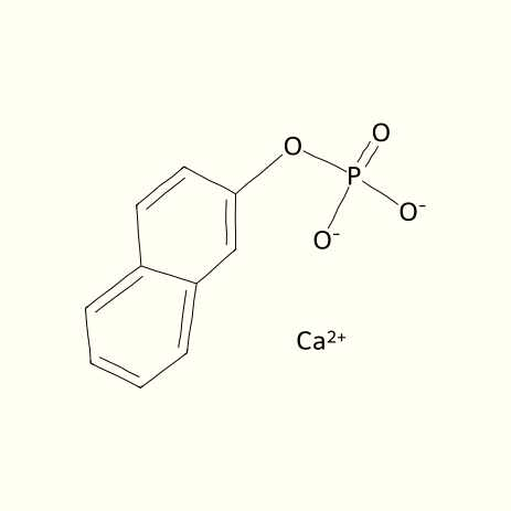 O=P([O-])([O-])Oc1ccc2ccccc2c1.[Ca+2]